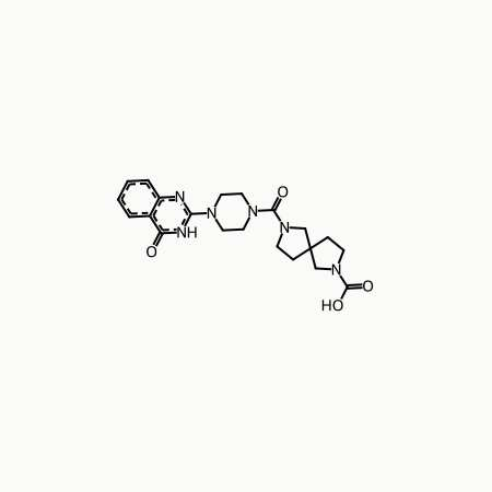 O=C(O)N1CCC2(CCN(C(=O)N3CCN(c4nc5ccccc5c(=O)[nH]4)CC3)C2)C1